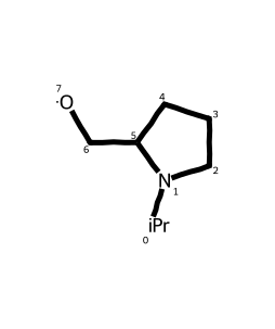 CC(C)N1CCCC1C[O]